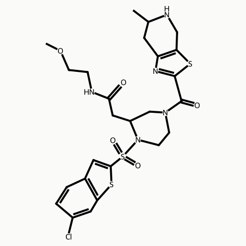 COCCNC(=O)CC1CN(C(=O)c2nc3c(s2)CNC(C)C3)CCN1S(=O)(=O)c1cc2ccc(Cl)cc2s1